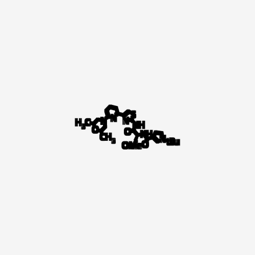 COC[C@H](NC(=O)c1ccn(C(C)(C)C)c1)C(=O)Nc1nc(-c2cccc(N3CC(C)OC(C)C3)n2)cs1